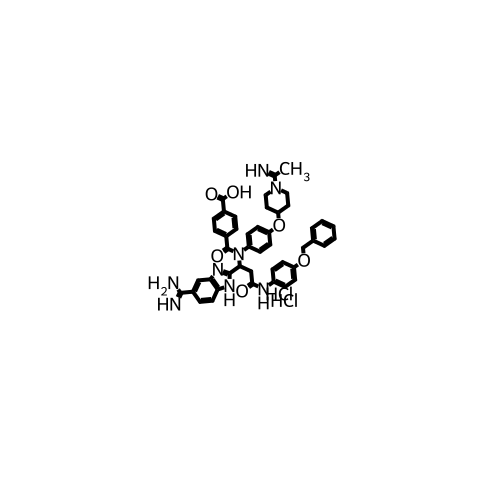 CC(=N)N1CCC(Oc2ccc(N(C(=O)c3ccc(C(=O)O)cc3)C(CC(=O)Nc3ccc(OCc4ccccc4)cc3)c3nc4cc(C(=N)N)ccc4[nH]3)cc2)CC1.Cl.Cl